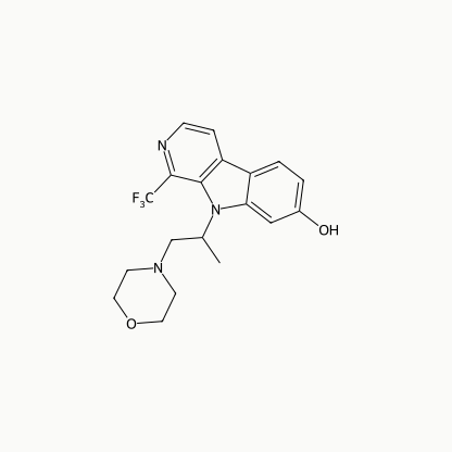 CC(CN1CCOCC1)n1c2cc(O)ccc2c2ccnc(C(F)(F)F)c21